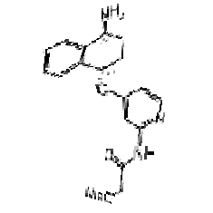 COCC(=O)Nc1cc(O[C@H]2CC[C@H](N)c3ccccc32)ccn1